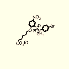 CCOC(=O)CCCCCOc1ccc([N+](=O)[O-])cc1S(=O)(=O)N(C)c1ccc(Br)cc1